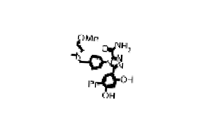 COCCN(C)Cc1ccc(-n2c(C(N)=O)nnc2-c2cc(C(C)C)c(O)cc2O)cc1